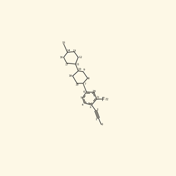 CC#Cc1ccc(C2CCC(C3CCC(C)CC3)CC2)cc1F